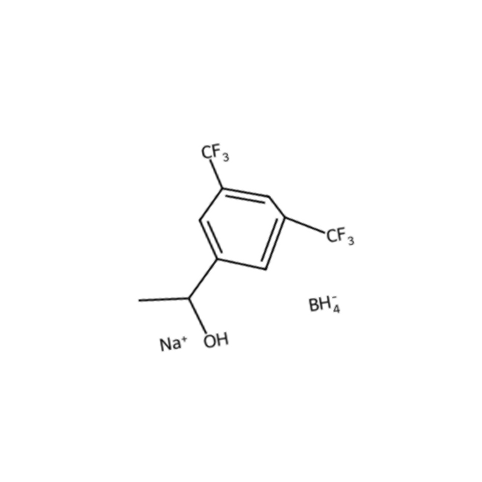 CC(O)c1cc(C(F)(F)F)cc(C(F)(F)F)c1.[BH4-].[Na+]